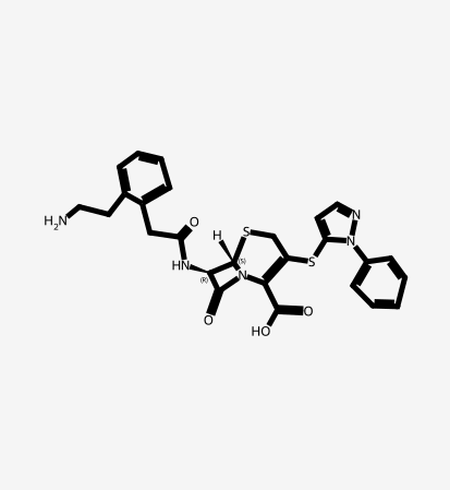 NCCc1ccccc1CC(=O)N[C@@H]1C(=O)N2C(C(=O)O)=C(Sc3ccnn3-c3ccccc3)CS[C@@H]12